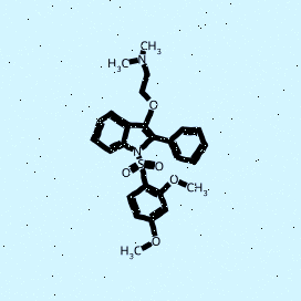 COc1ccc(S(=O)(=O)n2c(-c3ccccc3)c(OCCN(C)C)c3ccccc32)c(OC)c1